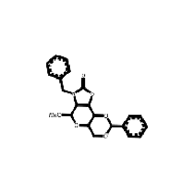 COC1OC2COC(c3ccccc3)OC2C2OC(=O)N(Cc3ccccc3)C12